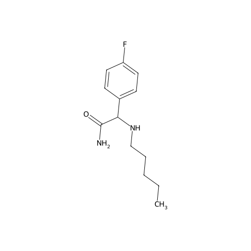 CCCCCNC(C(N)=O)c1ccc(F)cc1